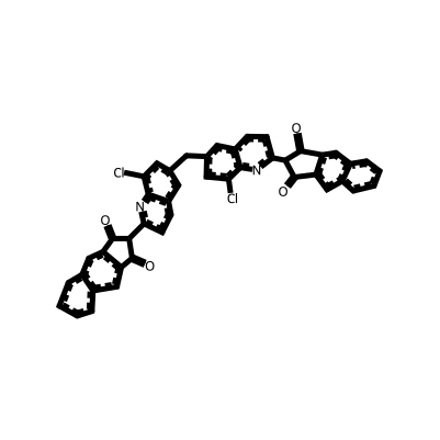 O=C1c2cc3ccccc3cc2C(=O)C1c1ccc2cc(Cc3cc(Cl)c4nc(C5C(=O)c6cc7ccccc7cc6C5=O)ccc4c3)cc(Cl)c2n1